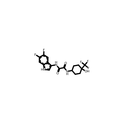 O=C(Nc1c[nH]c2cc(F)c(F)cc12)C(=O)NC1CCC(O)(C(F)(F)F)CC1